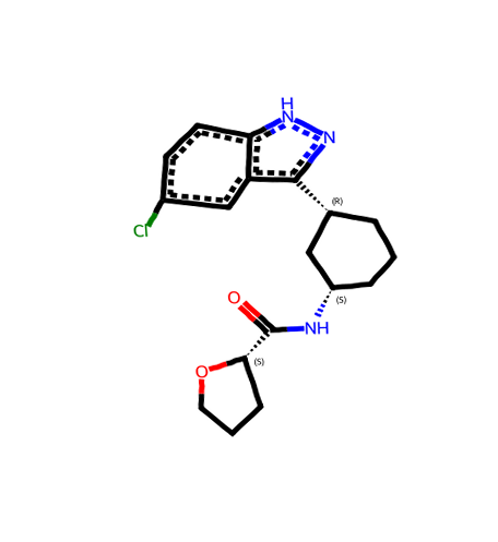 O=C(N[C@H]1CCC[C@@H](c2n[nH]c3ccc(Cl)cc23)C1)[C@@H]1CCCO1